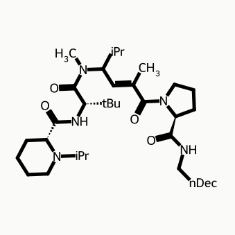 CCCCCCCCCCCNC(=O)[C@@H]1CCCN1C(=O)/C(C)=C/C(C(C)C)N(C)C(=O)[C@@H](NC(=O)[C@H]1CCCCN1C(C)C)C(C)(C)C